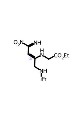 CCOC(=O)CN/C(=C\C(=N)[N+](=O)[O-])CNC(C)C